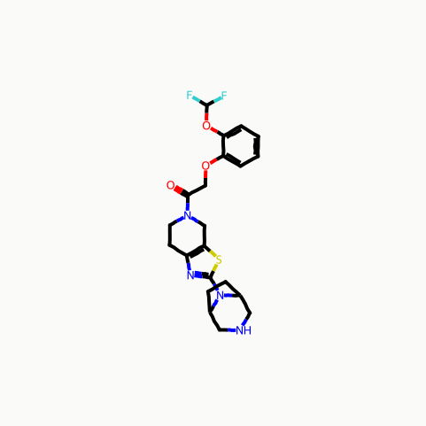 O=C(COc1ccccc1OC(F)F)N1CCc2nc(N3C4CCC3CNC4)sc2C1